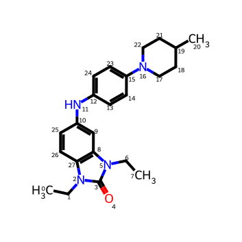 CCn1c(=O)n(CC)c2cc(Nc3ccc(N4CCC(C)CC4)cc3)ccc21